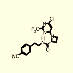 N#Cc1ccc(CCNC(=O)[C@@H]2CCN2c2cc(Cl)nc(C(F)(F)F)n2)cc1